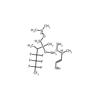 CC(C(F)(F)C(F)(F)C(F)(F)C(F)(F)F)[Si](C)(O[SiH3])[SiH2]O[SiH](C)C.CCCCC=C[SiH](C)O[SiH3]